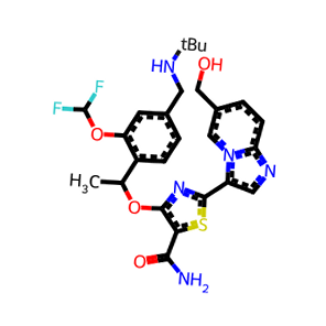 CC(Oc1nc(-c2cnc3ccc(CO)cn23)sc1C(N)=O)c1ccc(CNC(C)(C)C)cc1OC(F)F